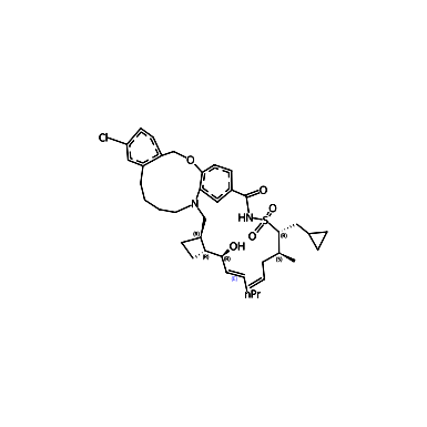 C=CC[C@H](C)[C@@H](CC1CC1)S(=O)(=O)NC(=O)c1ccc2c(c1)N(C[C@@H]1CC[C@H]1[C@@H](O)/C=C/CCC)CCCCc1cc(Cl)ccc1CO2